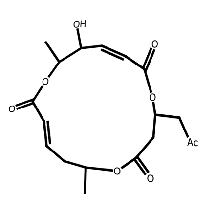 CC(=O)CC1CC(=O)OC(C)C/C=C/C(=O)OC(C)C(O)/C=C/C(=O)O1